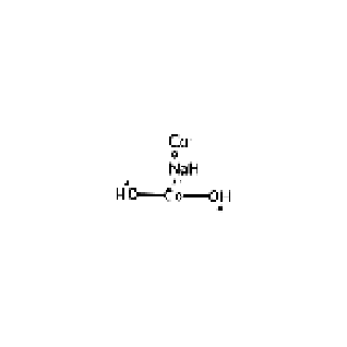 [Co].[NaH].[OH][Co][OH]